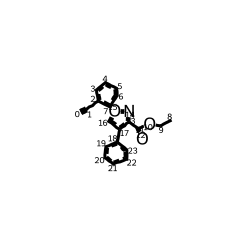 C#Cc1ccccc1.CCOC(=O)c1nocc1-c1ccccc1